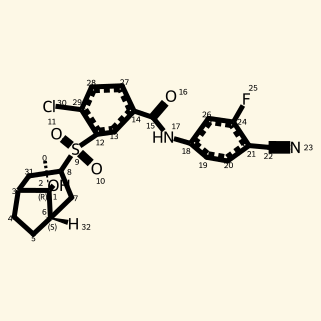 C[C@@]1(O)C2CC[C@H]1CC(S(=O)(=O)c1cc(C(=O)Nc3ccc(C#N)c(F)c3)ccc1Cl)C2